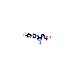 CC(O)Cn1cccc1-c1n[nH]cc1CN1CCN(c2ccc(C(F)(F)F)cn2)[C@H](C)C1